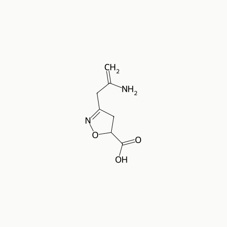 C=C(N)CC1=NOC(C(=O)O)C1